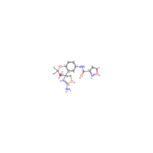 CC1(C)Oc2ccc(NC(=O)c3ccon3)cc2C2(COC(N)=N2)C12COC2